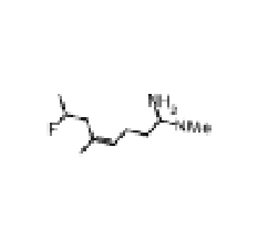 CNC(N)CC/C=C(/C)CC(C)F